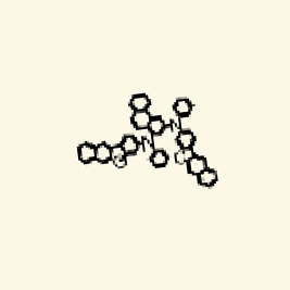 c1ccc(N(c2ccc3c(c2)oc2cc4ccccc4cc23)c2cc(N(c3ccccc3)c3ccc4c(c3)oc3cc5ccccc5cc34)c3ccc4ccccc4c3c2)cc1